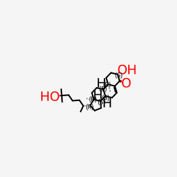 CC(CCCC(C)(C)O)[C@H]1CC[C@H]2[C@@H]3CC=C4C(=O)[C@@H](O)CC[C@]4(C)[C@H]3CC[C@]12C